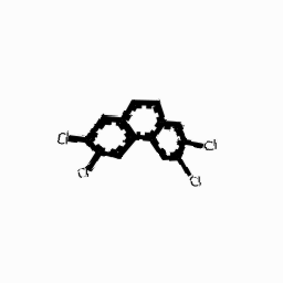 Clc1[c]c2ccc3[c]c(Cl)c(Cl)cc3c2cc1Cl